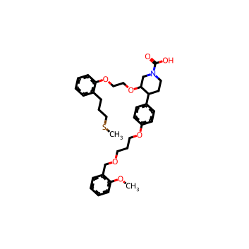 COc1ccccc1COCCCOc1ccc(C2CCN(C(=O)O)CC2OCCOc2ccccc2CCCSC)cc1